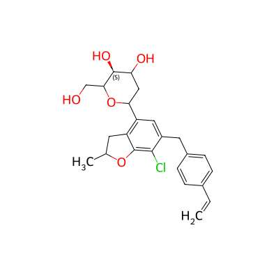 C=Cc1ccc(Cc2cc(C3CC(O)[C@H](O)C(CO)O3)c3c(c2Cl)OC(C)C3)cc1